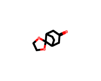 O=C1CC2CCC(C1)C21OCCO1